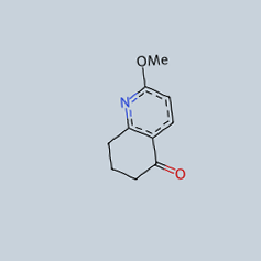 COc1ccc2c(n1)CCCC2=O